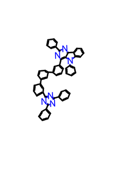 c1ccc(-c2nc(-c3ccccc3)nc(-c3cccc(-c4cccc(-c5cccc(-c6nc(-c7ccccc7)nc7c8ccccc8n(-c8ccccc8)c67)c5)c4)c3)n2)cc1